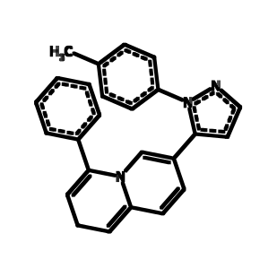 Cc1ccc(-n2nccc2C2=CN3C(=CCC=C3c3ccccc3)C=C2)cc1